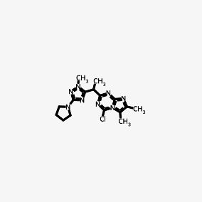 Cc1nc2nc(C(C)c3nc(N4CCCC4)nn3C)nc(Cl)n2c1C